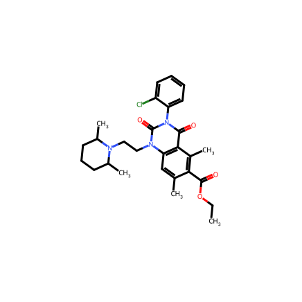 CCOC(=O)c1c(C)cc2c(c1C)c(=O)n(-c1ccccc1Cl)c(=O)n2CCN1C(C)CCCC1C